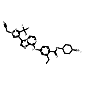 CCc1cc(Nc2nccn3c(-c4cn(CC#N)nc4C(F)(F)F)cnc23)ccc1C(=O)NC1CCC(N)CC1